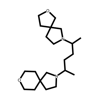 CC(CCC(C)N1CCC2(CCOC2)C1)N1CCC2(CCOCC2)C1